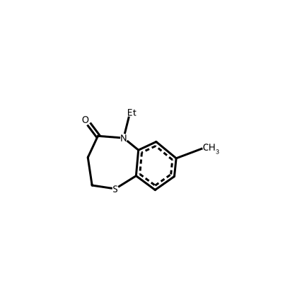 CCN1C(=O)CCSc2ccc(C)cc21